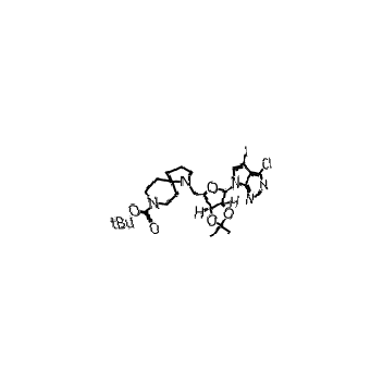 CC(C)(C)OC(=O)N1CCC2(CCCN2C[C@H]2O[C@@H](n3cc(I)c4c(Cl)ncnc43)[C@@H]3OC(C)(C)O[C@@H]32)CC1